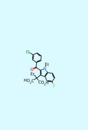 CCn1c(C(=O)c2cccc(Cl)c2)c(C(CC)(C(=O)O)C(=O)O)c2cc(F)ccc21